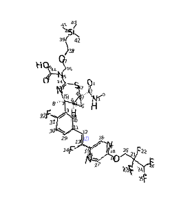 CNC(=O)[C@]12C[C@H]1[C@@](C)(c1cc(/C=C(\F)c3cnc(OCC(F)(F)C(F)F)cn3)ccc1F)N=C(N(COCC[Si](C)(C)C)C(=O)O)S2